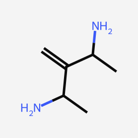 C=C(C(C)N)C(C)N